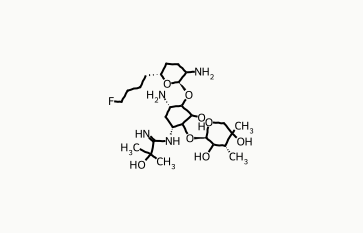 C[C@@H]1C(O)[C@@H](OC2C(O)C(O[C@H]3O[C@H](CCCCF)CCC3N)[C@@H](N)C[C@H]2NC(=N)C(C)(C)O)OCC1(C)O